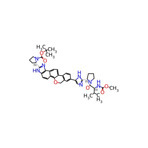 COC(=O)N[C@H](C(=O)N1CCC[C@H]1c1ncc(-c2ccc3c(c2)COc2c-3ccc3c2ccc2[nH]c([C@@H]4CCCN4C(=O)OC(C)(C)C)nc23)[nH]1)C(C)C